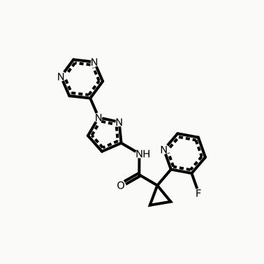 O=C(Nc1ccn(-c2cncnc2)n1)C1(c2ncccc2F)CC1